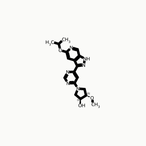 CO[C@H]1CN(c2cc(-c3n[nH]c4cnc(OC(C)C)cc34)ncn2)C[C@@H]1O